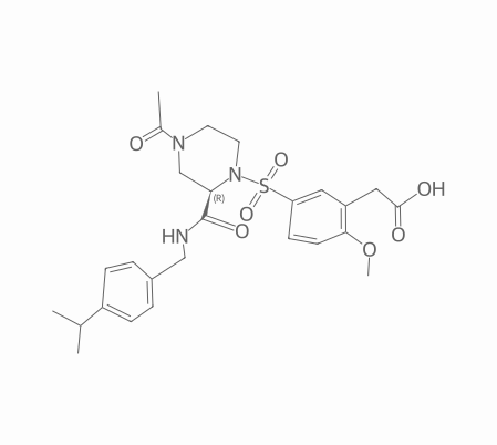 COc1ccc(S(=O)(=O)N2CCN(C(C)=O)C[C@@H]2C(=O)NCc2ccc(C(C)C)cc2)cc1CC(=O)O